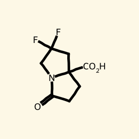 O=C1CCC2(C(=O)O)CC(F)(F)CN12